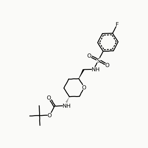 CC(C)(C)OC(=O)N[C@@H]1CC[C@@H](CNS(=O)(=O)c2ccc(F)cc2)OC1